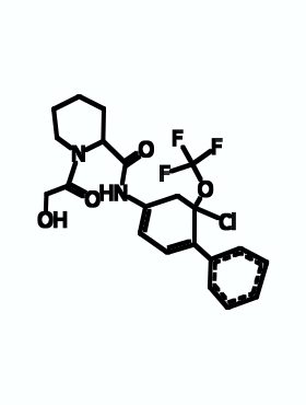 O=C(NC1=CC=C(c2ccccc2)C(Cl)(OC(F)(F)F)C1)C1CCCCN1C(=O)CO